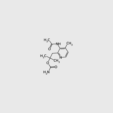 CC(=O)Nc1c(C)ccnc1CC(C)(C)OC(N)=O